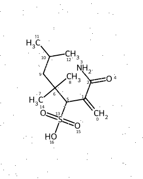 C=C(C(N)=O)C(C(C)(C)CC(C)C)S(=O)(=O)O